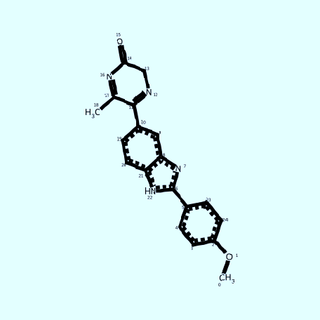 COc1ccc(-c2nc3cc(C4=NCC(=O)N=C4C)ccc3[nH]2)cc1